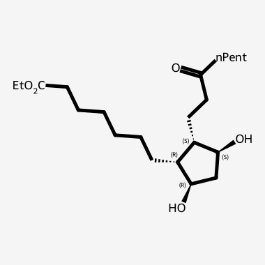 CCCCCC(=O)CC[C@H]1[C@@H](CCCCCCC(=O)OCC)[C@H](O)C[C@@H]1O